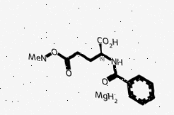 CNOC(=O)CC[C@H](NC(=O)c1ccccc1)C(=O)O.[MgH2]